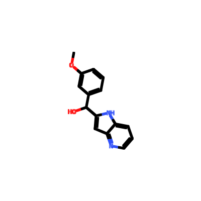 COc1cccc(C(O)c2cc3ncccc3[nH]2)c1